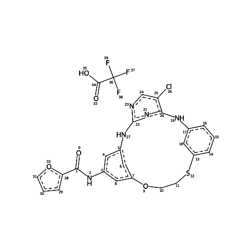 O=C(Nc1cc2cc(c1)OCCSc1cccc(c1)Nc1nc(ncc1Cl)N2)c1ccco1.O=C(O)C(F)(F)F